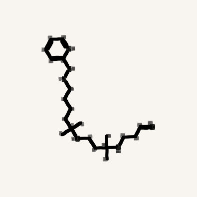 CC(C)(CCCCSSc1ccccn1)OCCC(C)(C)OCCC=O